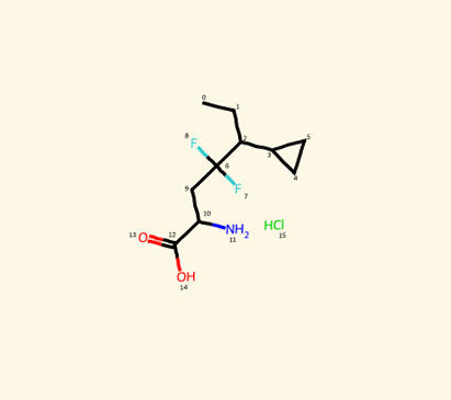 CCC(C1CC1)C(F)(F)CC(N)C(=O)O.Cl